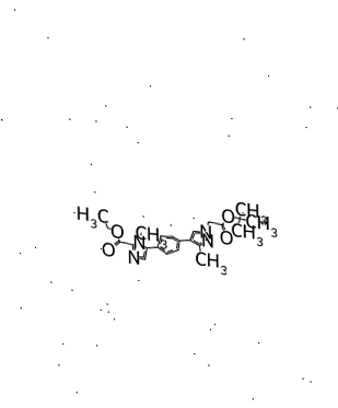 CCOC(=O)c1ncc(-c2ccc(-c3cn(CC(=O)OC(C)(C)C)nc3C)cc2)n1C